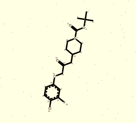 CC(C)(C)OC(=O)N1CCC(CC(=O)COc2ccc(Cl)c(F)c2)CC1